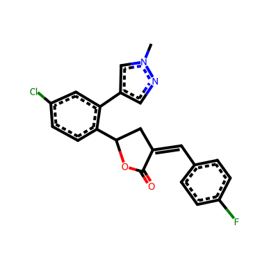 Cn1cc(-c2cc(Cl)ccc2C2CC(=Cc3ccc(F)cc3)C(=O)O2)cn1